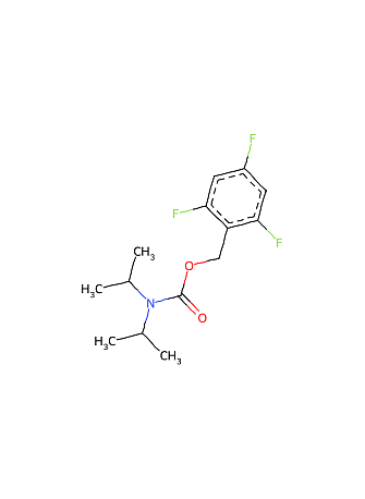 CC(C)N(C(=O)OCc1c(F)cc(F)cc1F)C(C)C